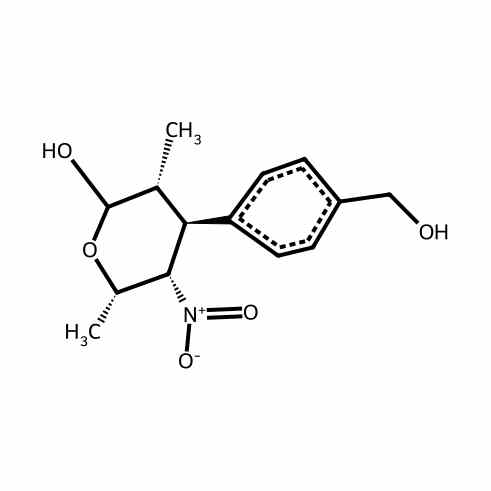 C[C@@H]1OC(O)[C@H](C)[C@@H](c2ccc(CO)cc2)[C@@H]1[N+](=O)[O-]